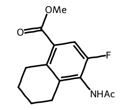 COC(=O)c1cc(F)c(NC(C)=O)c2c1CCCC2